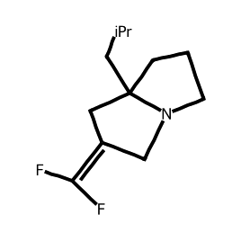 CC(C)CC12CCCN1CC(=C(F)F)C2